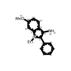 CCn1c(-c2ccccc2)c(N)c2ccc(OC)cc21